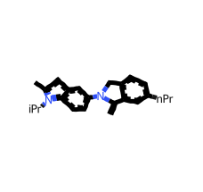 C=C1c2cc(CCC)ccc2CN1c1ccc2c(c1)cc(C)n2C(C)C